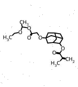 C=C(C)C(=O)OC1C2CC3CC1CC(OCC(=O)OC(C)OCC)(C3)C2